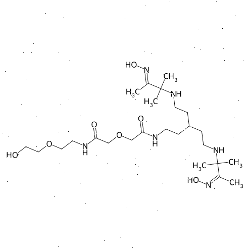 C/C(=N/O)C(C)(C)NCCC(CCNC(=O)COCC(=O)NCCOCCO)CCNC(C)(C)/C(C)=N/O